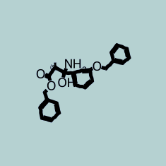 C[C@H](C(=O)OCc1ccccc1)C(N)(O)c1cccc(OCc2ccccc2)c1